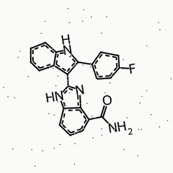 NC(=O)c1cccc2[nH]c(-c3c(-c4ccc(F)cc4)[nH]c4ccccc34)nc12